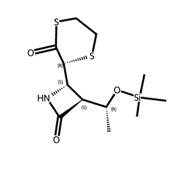 C[C@@H](O[Si](C)(C)C)[C@H]1C(=O)N[C@@H]1[C@H]1SCCSC1=O